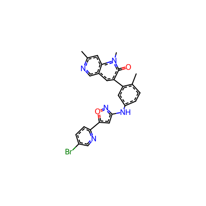 Cc1cc2c(cn1)cc(-c1cc(Nc3cc(-c4ccc(Br)cn4)on3)ccc1C)c(=O)n2C